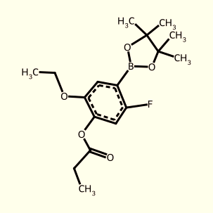 CCOc1cc(B2OC(C)(C)C(C)(C)O2)c(F)cc1OC(=O)CC